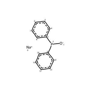 [Na+].[O-]P(c1ccccc1)c1ccccc1